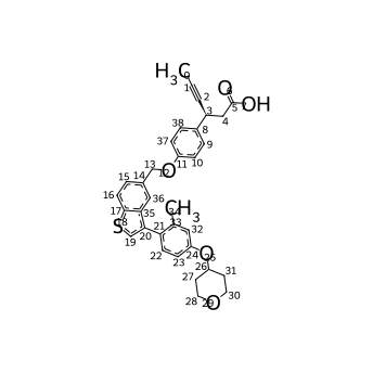 CC#C[C@@H](CC(=O)O)c1ccc(OCc2ccc3scc(-c4ccc(OC5CCOCC5)cc4C)c3c2)cc1